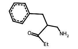 CCC(=O)C(CN)Cc1ccccc1